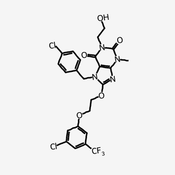 Cn1c(=O)n(CCO)c(=O)c2c1nc(OCCOc1cc(Cl)cc(C(F)(F)F)c1)n2Cc1ccc(Cl)cc1